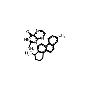 C.CC1CCCc2c1ccc1c2ccc2ccccc21.Nc1nc2nccnc2c(=O)[nH]1